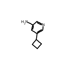 Nc1cncc(C2CCC2)c1